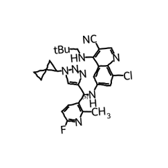 Cc1nc(F)ccc1[C@H](Nc1cc(Cl)c2ncc(C#N)c(NCC(C)(C)C)c2c1)c1cn(C2CC23CC3)nn1